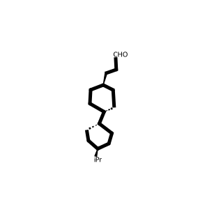 CC(C)[C@H]1CC[C@H]([C@H]2CC[C@H](CCC=O)CC2)CC1